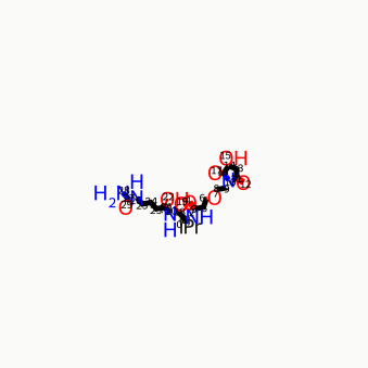 CC(C)[C@H](NC(=O)CCOCCN1C(=O)CC(O)C1=O)C(=O)N[C@H](O)CCCNC(N)=O